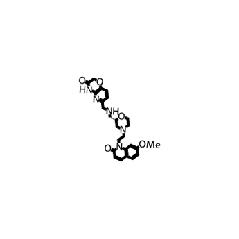 COc1ccc2ccc(=O)n(CCN3CCO[C@@H](CNCc4ccc5c(n4)NC(=O)CO5)C3)c2c1